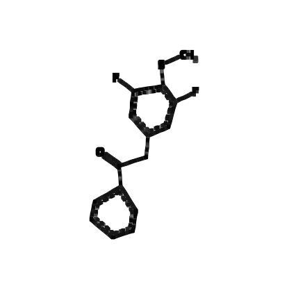 CSc1c(F)cc(CC(=O)c2ccccc2)cc1F